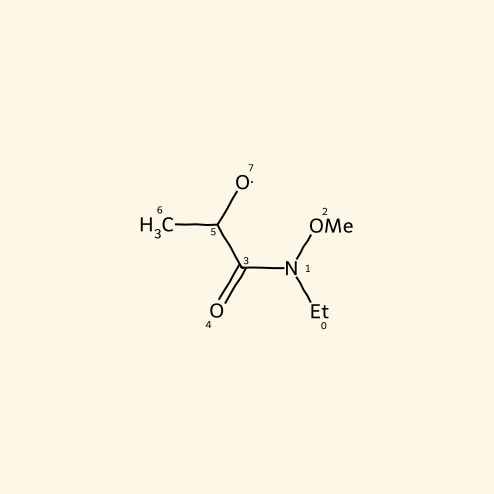 CCN(OC)C(=O)C(C)[O]